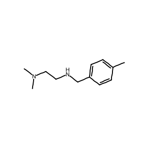 Cc1ccc(CNCCN(C)C)cc1